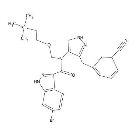 C[Si](C)(C)CCOCN(C(=O)c1n[nH]c2cc(Br)ccc12)c1c[nH]nc1Cc1cccc(C#N)c1